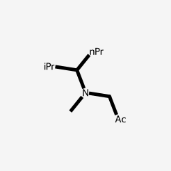 CCCC(C(C)C)N(C)CC(C)=O